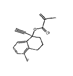 C#CC1(OC(=O)C(=C)C)CCCc2c(F)cccc21